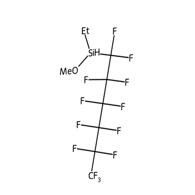 CC[SiH](OC)C(F)(F)C(F)(F)C(F)(F)C(F)(F)C(F)(F)C(F)(F)F